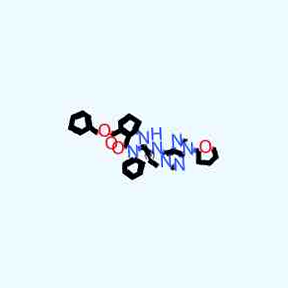 CC[C@H](Nc1ncnc2c1ncn2C1CCCCO1)c1nc2cccc(C(=O)OCc3ccccc3)c2c(=O)n1-c1ccccc1